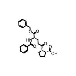 O=C(N[C@H](CCC(=O)N1CCC[C@H]1C(=O)O)C(=O)OCc1ccccc1)c1ccccc1